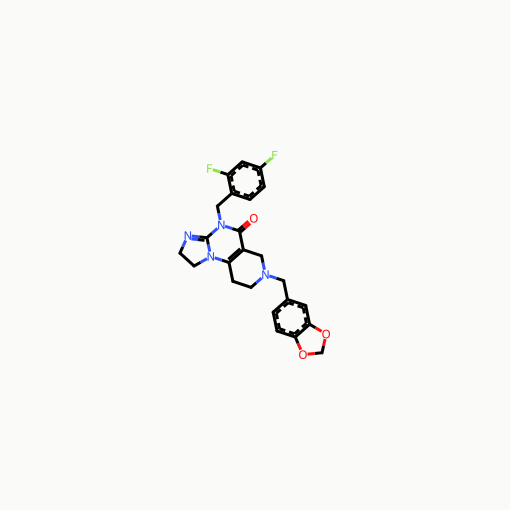 O=C1C2=C(CCN(Cc3ccc4c(c3)OCO4)C2)N2CCN=C2N1Cc1ccc(F)cc1F